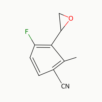 Cc1c(C#N)ccc(F)c1C1CO1